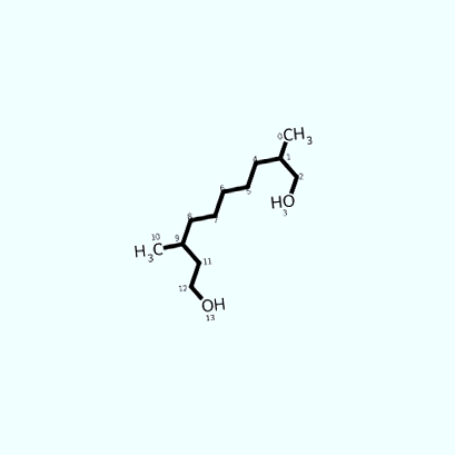 CC(CO)CCCCCC(C)CCO